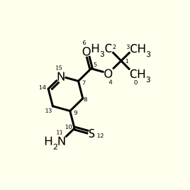 CC(C)(C)OC(=O)C1CC(C(N)=S)CC=N1